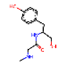 CNCC(=O)NC(CO)Cc1ccc(O)cc1